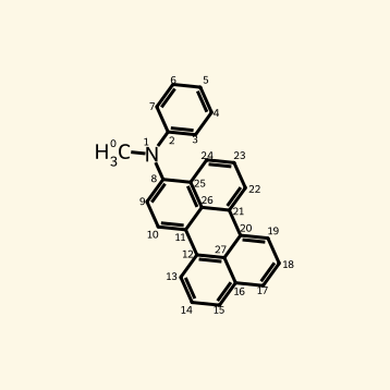 CN(c1ccccc1)c1ccc2c3cccc4cccc(c5cccc1c52)c43